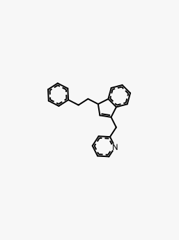 C1=C(Cc2ccccn2)c2ccccc2C1CCc1ccccc1